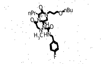 CCCCOCCCN1C[C@H]2N(C(=O)CN(C)N2C(=O)NCc2ccc(F)cc2)[C@@H](CCC)C1=O